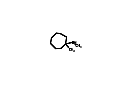 CBC1(C)CCCCCCC1